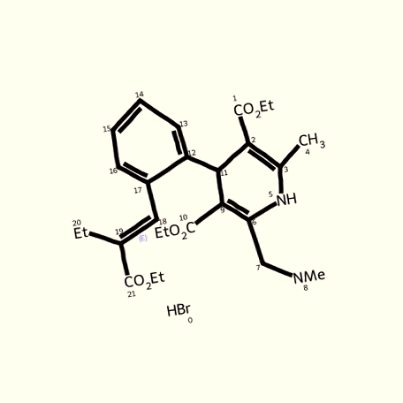 Br.CCOC(=O)C1=C(C)NC(CNC)=C(C(=O)OCC)C1c1ccccc1/C=C(\CC)C(=O)OCC